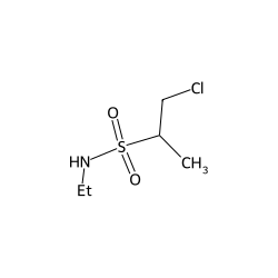 CCNS(=O)(=O)C(C)CCl